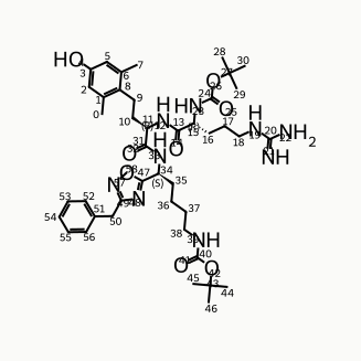 Cc1cc(O)cc(C)c1CC[C@@H](NC(=O)[C@@H](CCCNC(=N)N)NC(=O)OC(C)(C)C)C(=O)N[C@@H](CCCCNC(=O)OC(C)(C)C)c1nc(Cc2ccccc2)no1